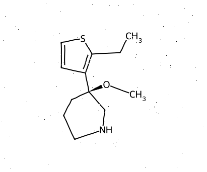 CCc1sccc1[C@@]1(OC)CCCNC1